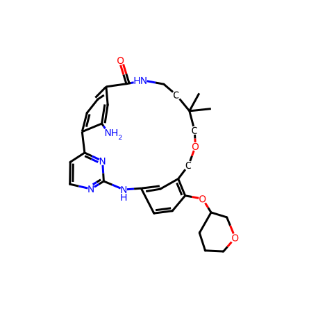 CC1(C)CCNC(=O)c2ccc(c(N)c2)-c2ccnc(n2)Nc2ccc(OC3CCCOC3)c(c2)COC1